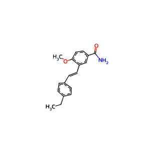 CCc1ccc(/C=C/c2cc(C(N)=O)ccc2OC)cc1